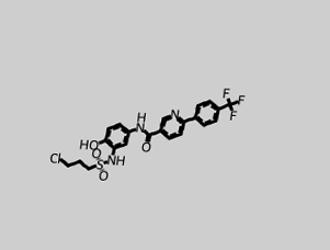 O=C(Nc1ccc(O)c(NS(=O)(=O)CCCCl)c1)c1ccc(-c2ccc(C(F)(F)F)cc2)nc1